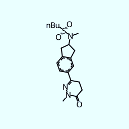 CCCCS(=O)(=O)N(C)C1Cc2ccc(C3=NN(C)C(=O)CC3)cc2C1